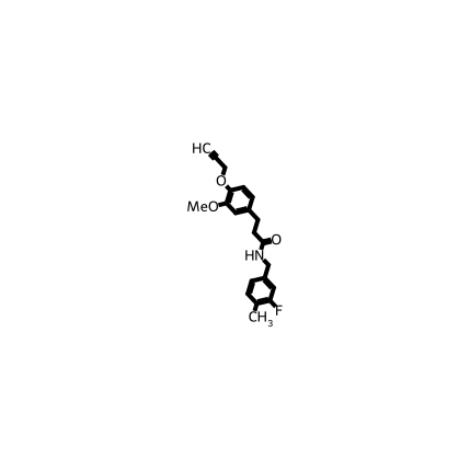 C#CCOc1ccc(CCC(=O)NCc2ccc(C)c(F)c2)cc1OC